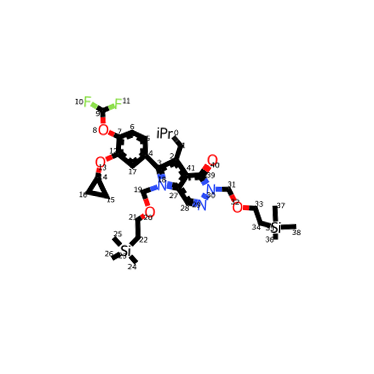 CC(C)Cc1c(-c2ccc(OC(F)F)c(OC3CC3)c2)n(COCC[Si](C)(C)C)c2cnn(COCC[Si](C)(C)C)c(=O)c12